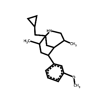 COc1cccc(C2CC(C)C3(CC4CC4)CC2C(C)CN3)c1